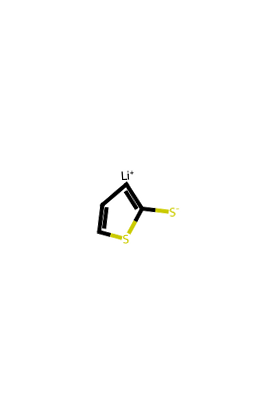 [Li+].[S-]c1cccs1